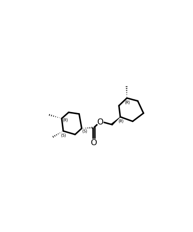 C[C@@H]1CCC[C@@H](COC(=O)[C@H]2CC[C@@H](C)[C@@H](C)C2)C1